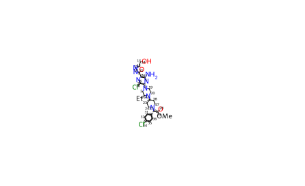 CC[C@H]1CN(c2nc(N)c(-c3nnc(CO)o3)nc2Cl)CCN1C1CCN([C@H](C(=O)OC)c2ccc(Cl)cc2)CC1